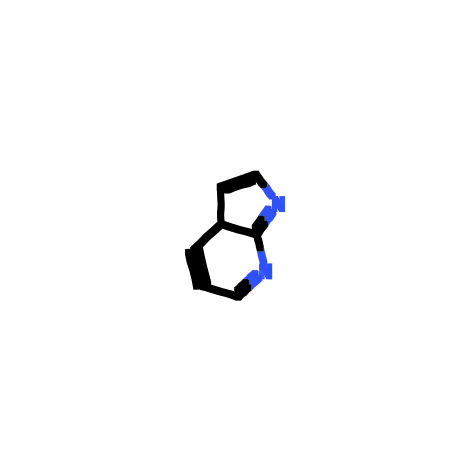 C1#CC2C=CN=C2N=C1